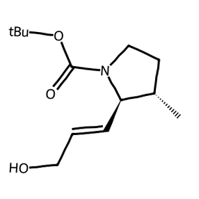 C[C@H]1CCN(C(=O)OC(C)(C)C)[C@@H]1/C=C/CO